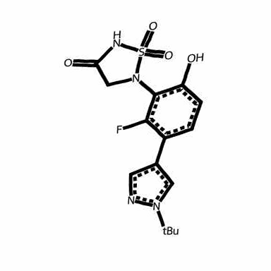 CC(C)(C)n1cc(-c2ccc(O)c(N3CC(=O)NS3(=O)=O)c2F)cn1